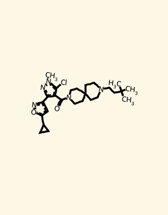 Cn1nc(-c2cc(C3CC3)on2)c(C(=O)N2CCC3(CCN(CCC(C)(C)C)CC3)CC2)c1Cl